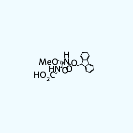 COC[C@H](NC(=O)OCC1c2ccccc2-c2ccccc21)C(=O)NCC(=O)O